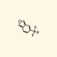 FC(F)(F)c1ccc2[c]occ2c1